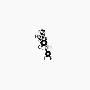 C[C@H](Nc1cc(F)c(S(=O)(=O)Nc2nccs2)cc1Cl)c1ccc(F)c(F)c1